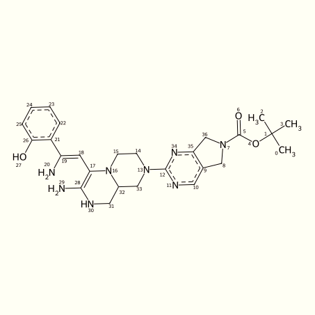 CC(C)(C)OC(=O)N1Cc2cnc(N3CCN4C(/C=C(\N)c5ccccc5O)=C(N)NCC4C3)nc2C1